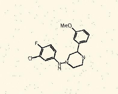 COc1cccc(C2CN(Nc3ccc(F)c(Cl)c3)CC[N]2)c1